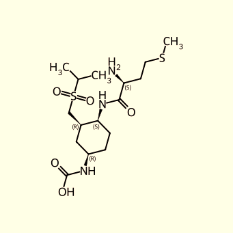 CSCC[C@H](N)C(=O)N[C@H]1CC[C@@H](NC(=O)O)C[C@H]1CS(=O)(=O)C(C)C